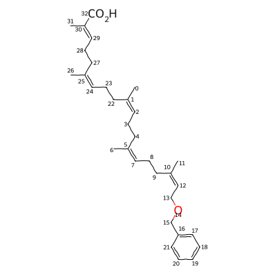 CC(=CCCC(C)=CCCC(C)=CCOCc1ccccc1)CCC=C(C)CCC=C(C)C(=O)O